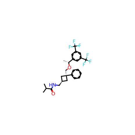 CC(C)C(=O)NC[C@H]1C[C@@](CO[C@H](C)c2cc(C(F)(F)F)cc(C(F)(F)F)c2)(c2ccccc2)C1